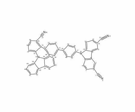 N#Cc1ccc2c(c1)c1cc(C#N)ccc1n2-c1ccc(-c2ccc(-c3c(C#N)cccc3-n3c4ccccc4c4ccccc43)cc2)cc1